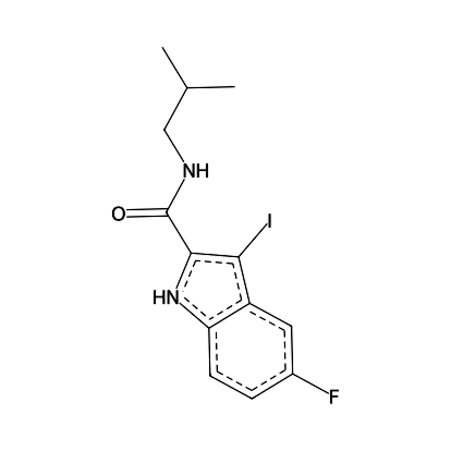 CC(C)CNC(=O)c1[nH]c2ccc(F)cc2c1I